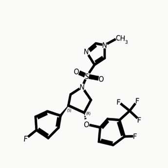 Cn1cnc(S(=O)(=O)N2C[C@H](Oc3ccc(F)c(C(F)(F)F)c3)[C@@H](c3ccc(F)cc3)C2)c1